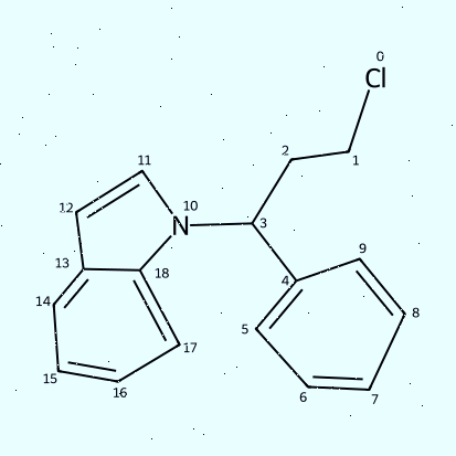 ClCCC(c1ccccc1)n1ccc2ccccc21